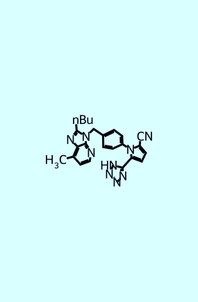 CCCCc1nc2c(C)ccnc2n1Cc1ccc(-n2c(C#N)ccc2-c2nnn[nH]2)cc1